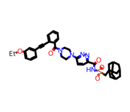 CCOc1cccc(C#Cc2ccccc2C(=O)N2CCN(c3ccc(C(=O)NS(=O)(=O)CC45CC6CC(CC(C6)C4)C5)nn3)CC2)c1